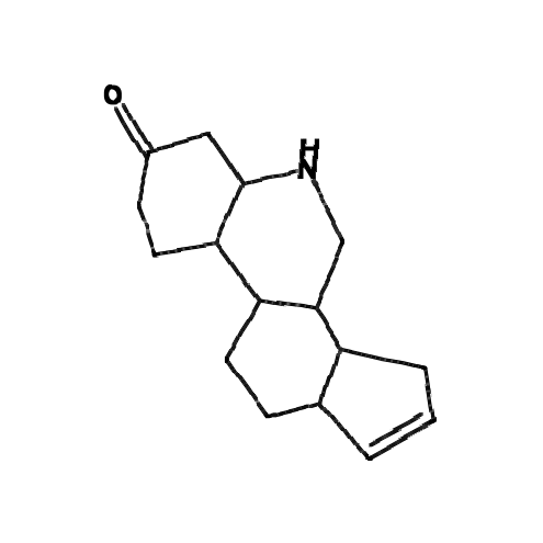 O=C1CCC2C(C1)NCC1C3CC=CC3CCC21